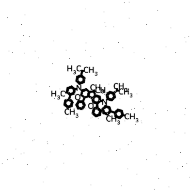 Cc1ccc(-c2cc(N(C3=CC4=C(c5c(cc(N(c6ccc(C(C)C)cc6)c6ccc(C)c(-c7ccc(C)cc7)c6)c6c5oc5ccccc56)C4(C)C)C4c5ccccc5OC34)c3ccc(C(C)C)cc3)ccc2C)cc1